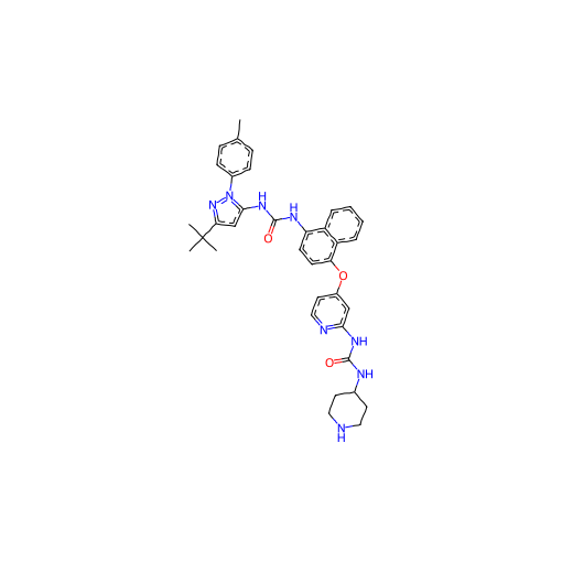 Cc1ccc(-n2nc(C(C)(C)C)cc2NC(=O)Nc2ccc(Oc3ccnc(NC(=O)NC4CCNCC4)c3)c3ccccc23)cc1